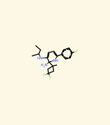 CCC(C)NC1=CC=C(c2ccc(F)cc2)NC1(N)C1(C)CC(F)(F)C1